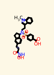 Cn1cc(CCN(C2CCc3cc(/C=C/C(=O)NO)ccc32)S(=O)(=O)c2ccc(C(=O)O)cc2)c2ccccc21